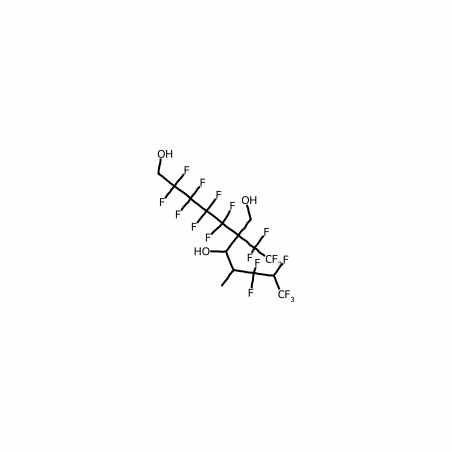 CC(C(O)C(CO)(C(F)(F)C(F)(F)F)C(F)(F)C(F)(F)C(F)(F)C(F)(F)CO)C(F)(F)C(F)C(F)(F)F